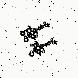 CC[C@@]1(C)CN(Cc2ccccc2)CCN1c1nn(C2CC3(C2)CN(C(=O)OC(C)(C)C)C3)c(C)c1-c1c(Cl)c(C)cc2c1cnn2C1CCCCO1.CC[C@@]1(C)CNCCN1c1nn(C2CC3(C2)CN(C(=O)OC(C)(C)C)C3)c(C)c1-c1c(Cl)c(C)cc2c1cnn2C1CCCCO1